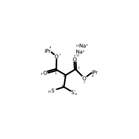 CC(C)OC(=O)C(C(=O)OC(C)C)C([S-])[S-].[Na+].[Na+]